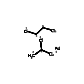 CC(Cl)Cl.ClCCCl.[Pd]